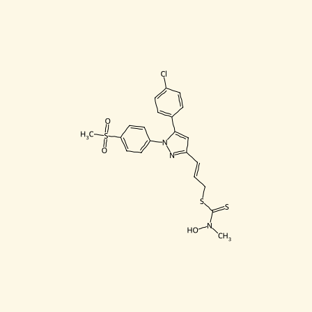 CN(O)C(=S)SCC=Cc1cc(-c2ccc(Cl)cc2)n(-c2ccc(S(C)(=O)=O)cc2)n1